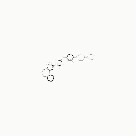 Cc1cc(Nc2nc(N)n(-c3cc4c(nn3)CCCc3ccccc3-4)n2)ccc1N1CCC(N2CCCC2)CC1